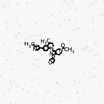 CC(=O)N1CCc2c(c(N3CC[C@H](C)c4cc(-c5cnn(C)c5)ccc43)nn2[C@H]2CCOC2)C1